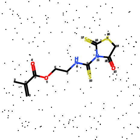 C=C(C)C(=O)OCCNC(=S)N1C(=O)CSC1=S